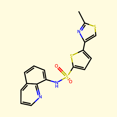 Cc1nc(-c2ccc(S(=O)(=O)Nc3cccc4cccnc34)s2)cs1